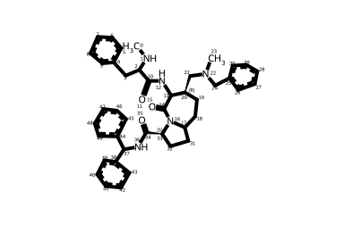 CNC(Cc1ccccc1)C(=O)NC1C(=O)N2C(CC[C@@H]1CN(C)Cc1ccccc1)CC[C@H]2C(=O)NC(c1ccccc1)c1ccccc1